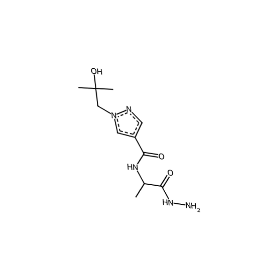 CC(NC(=O)c1cnn(CC(C)(C)O)c1)C(=O)NN